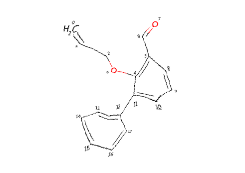 C=CCOc1c(C=O)cccc1-c1ccccc1